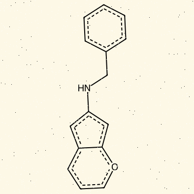 c1ccc(CNc2cc3cccoc-3c2)cc1